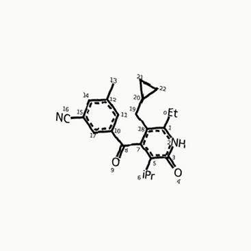 CCc1[nH]c(=O)c(C(C)C)c(C(=O)c2cc(C)cc(C#N)c2)c1CC1CC1